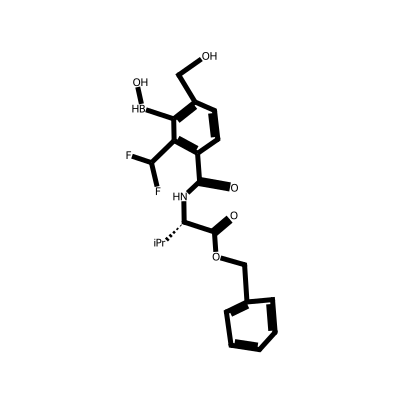 CC(C)[C@H](NC(=O)c1ccc(CO)c(BO)c1C(F)F)C(=O)OCc1ccccc1